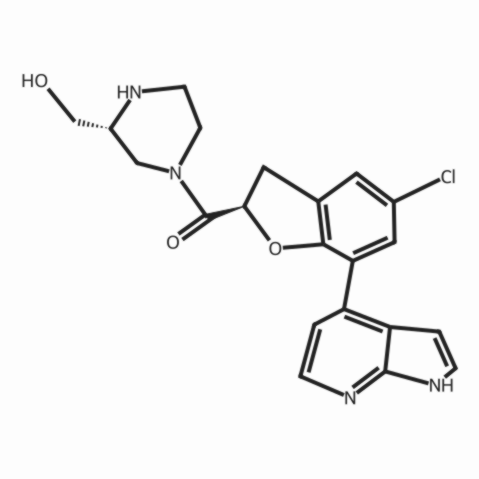 O=C([C@H]1Cc2cc(Cl)cc(-c3ccnc4[nH]ccc34)c2O1)N1CCN[C@@H](CO)C1